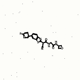 N#CC(C(=O)NCC(=O)NC1COC1)c1nc2ccc(-c3ccc(F)nc3)cc2s1